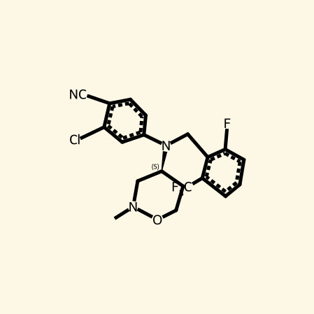 CN1C[C@@H](N(Cc2c(F)cccc2C(F)(F)F)c2ccc(C#N)c(Cl)c2)CCO1